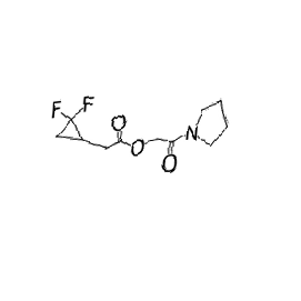 O=C(CC1CC1(F)F)OCC(=O)N1CCCC1